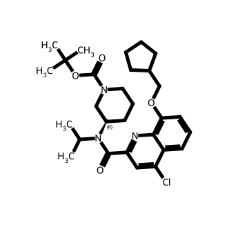 CC(C)N(C(=O)c1cc(Cl)c2cccc(OCC3CCCC3)c2n1)[C@@H]1CCCN(C(=O)OC(C)(C)C)C1